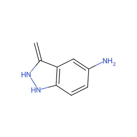 C=C1NNc2ccc(N)cc21